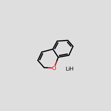 C1=Cc2ccccc2OC1.[LiH]